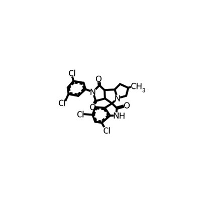 CC1CC2C3C(=O)N(c4cc(Cl)cc(Cl)c4)C(=O)C3C3(C(=O)Nc4c(Cl)cc(Cl)cc43)N2C1